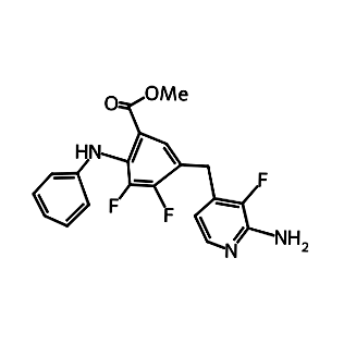 COC(=O)c1cc(Cc2ccnc(N)c2F)c(F)c(F)c1Nc1ccccc1